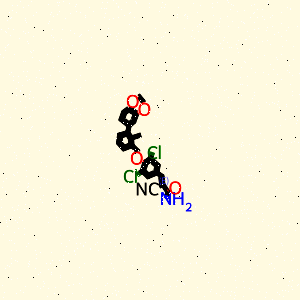 Cc1c(COc2c(Cl)cc(/C=C(\C#N)C(N)=O)cc2Cl)cccc1-c1ccc2c(c1)OCCO2